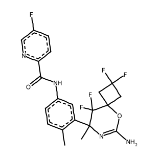 Cc1ccc(NC(=O)c2ccc(F)cn2)cc1C1(C)N=C(N)OC2(CC(F)(F)C2)C1(F)F